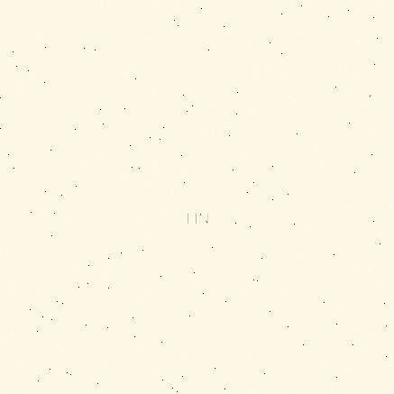 C=C(C)C/C=C(/CC)NC(=C)C(C)C